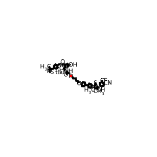 Cc1ncsc1-c1ccc(CNC(=O)[C@@H]2C[C@@H](O)CN2C(=O)[C@@H](NC(=O)COCCCCCOc2ccc(-c3ccc(N4C(=S)N(c5ccc(C#N)c(C(F)(F)F)c5)C(O)C4(C)C)cc3)cc2)C(C)(C)C)cc1